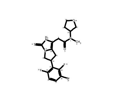 CN(C(=O)Cc1[nH]c(=S)n2c1CC(c1c(F)ccc(Br)c1F)C2)C1CCOC1